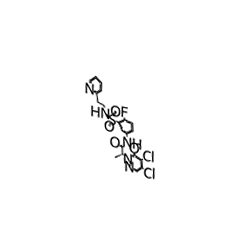 C[C@@H](C(=O)Nc1ccc(F)c(S(=O)(=O)NCCc2ccccn2)c1)n1ncc(Cl)c(Cl)c1=O